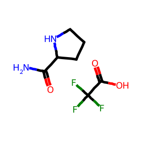 NC(=O)C1CCCN1.O=C(O)C(F)(F)F